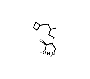 CC(CC[C@H](CN)C(=O)O)CC1CCC1